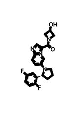 O=C(c1cnc2ccc(N3CCC[C@@H]3c3cc(F)ccc3F)cn12)N1CC(O)C1